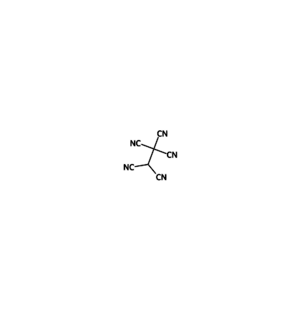 N#CC(C#N)C(C#N)(C#N)C#N